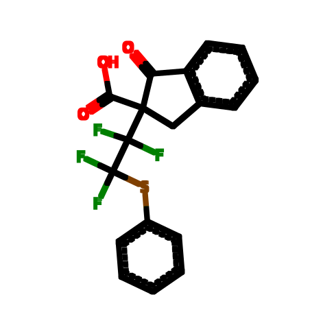 O=C(O)C1(C(F)(F)C(F)(F)Sc2ccccc2)Cc2ccccc2C1=O